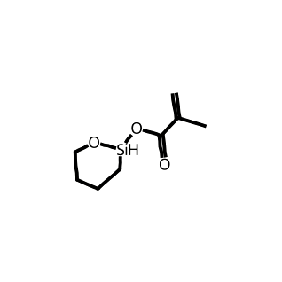 C=C(C)C(=O)O[SiH]1CCCCO1